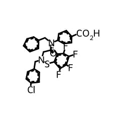 O=C(O)c1ccc(N(Cc2ccccc2)C(=O)CN(Cc2ccc(Cl)cc2)Sc2c(F)c(F)c(F)c(F)c2F)cc1